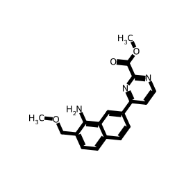 COCc1ccc2ccc(-c3ccnc(C(=O)OC)n3)cc2c1N